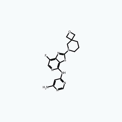 Nc1cc(Nc2ncc(F)c3nc(N4CCCC5(COC5)C4)sc23)ncn1